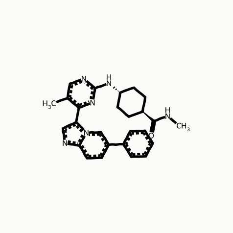 CNC(=O)[C@H]1CC[C@H](Nc2ncc(C)c(-c3cnc4ccc(-c5ccccc5)cn34)n2)CC1